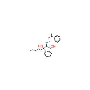 CCCCCC(O)(c1ccccc1)C(CO)CCCC(C)c1ccccc1